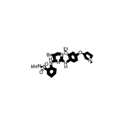 CCOc1cc(O[C@H]2CCN(C)C2)ccc1Nc1ncc(Br)c(Nc2ccccc2S(=O)(=O)NC)n1